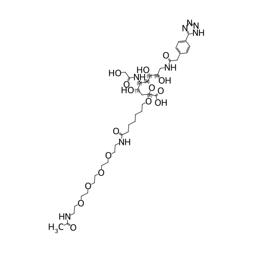 CC(=O)NCCOCCOCCOCCOCCNC(=O)CCCCCCO[C@]1(C(=O)O)C[C@H](O)[C@@H](NC(=O)CO)[C@H]([C@H](O)[C@H](O)CNC(=O)Cc2ccc(-c3nnn[nH]3)cc2)O1